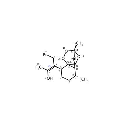 C[C@@H]1CC[C@@H](/C(CBr)=C(\O)C(F)(F)F)[C@@]23CO[C@](C)(CCC12)OO3